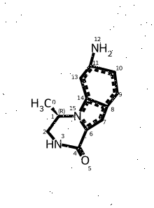 C[C@@H]1CNC(=O)c2cc3ccc(N)cc3n21